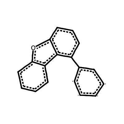 [c]1[c][c]c(-c2cccc3oc4ccccc4c23)c[c]1